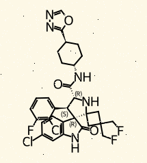 O=C(N[C@H]1CC[C@H](c2nnco2)CC1)[C@@H]1NC2(CC(CF)(CF)C2)[C@@]2(C(=O)Nc3cc(Cl)ccc32)[C@H]1c1cccc(F)c1Cl